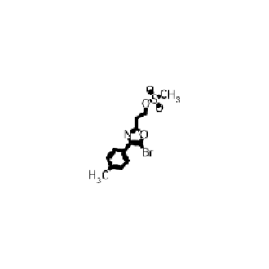 Cc1ccc(-c2nc(CCOS(C)(=O)=O)oc2Br)cc1